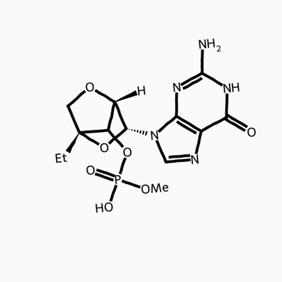 CC[C@@]12CO[C@@H](C1OP(=O)(O)OC)[C@H](n1cnc3c(=O)[nH]c(N)nc31)O2